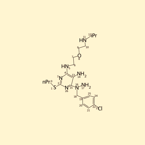 CCCSc1nc(NCCOCCNC(C)C)c(N)c(N(N)Cc2ccc(Cl)cc2)n1